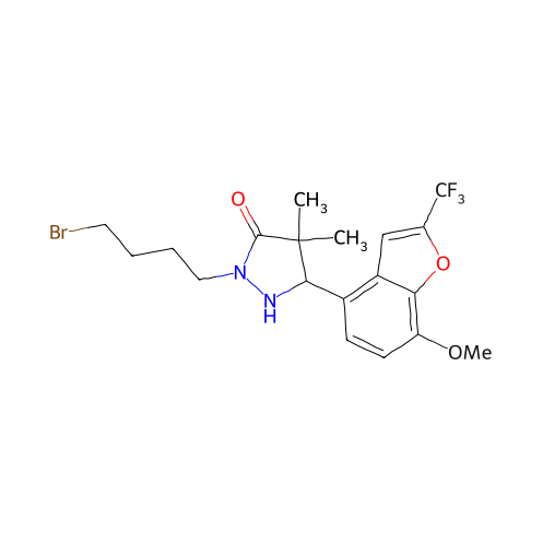 COc1ccc(C2NN(CCCCBr)C(=O)C2(C)C)c2cc(C(F)(F)F)oc12